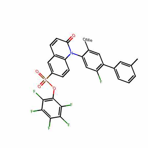 COc1cc(-c2cccc(C)c2)c(F)cc1-n1c(=O)ccc2cc(S(=O)(=O)Oc3c(F)c(F)c(F)c(F)c3F)ccc21